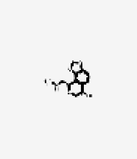 CNC[C@@H]1OC[C@H](O)c2ccc3c(c21)OCO3